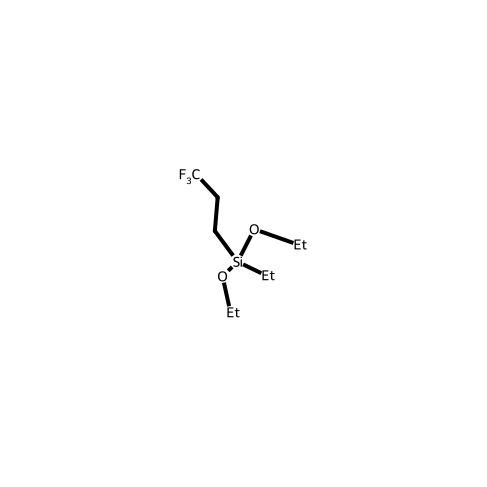 CCO[Si](CC)(CCC(F)(F)F)OCC